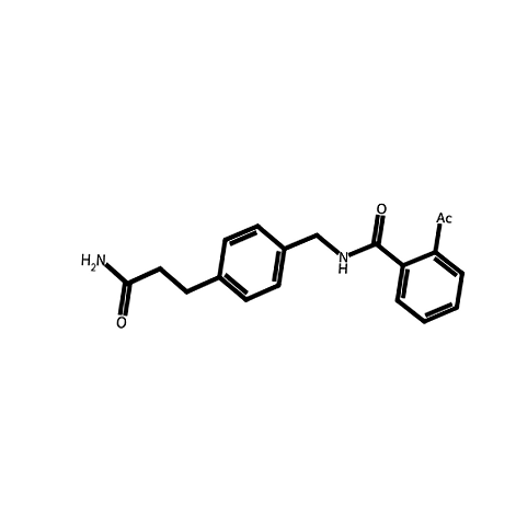 CC(=O)c1ccccc1C(=O)NCc1ccc(CCC(N)=O)cc1